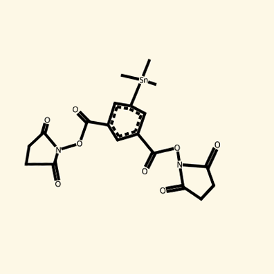 [CH3][Sn]([CH3])([CH3])[c]1cc(C(=O)ON2C(=O)CCC2=O)cc(C(=O)ON2C(=O)CCC2=O)c1